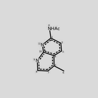 CC(=O)Nc1ccc2c(C)ccnc2n1